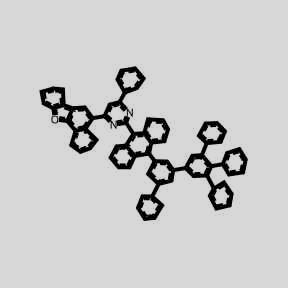 c1ccc(-c2cc(-c3cc(-c4ccccc4)c(-c4ccccc4)c(-c4ccccc4)c3)cc(-c3c4ccccc4c(-c4nc(-c5ccccc5)cc(-c5cc6c7ccccc7oc6c6ccccc56)n4)c4ccccc34)c2)cc1